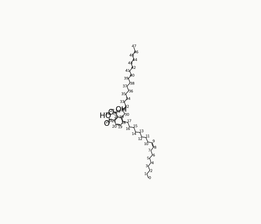 CCCCCCCC/C=C\CCCCCCCCc1ccc(C(=O)O)c(C(=O)O)c1CCCCCCCCCCCCCCCCCC